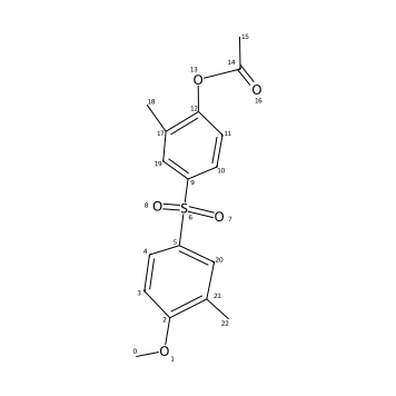 COc1ccc(S(=O)(=O)c2ccc(OC(C)=O)c(C)c2)cc1C